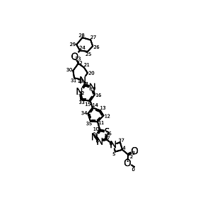 COC(=O)C1CN(c2nnc(-c3ccc(-c4cnc(N5CCC(OC6CCCCC6)CC5)nc4)cc3)s2)C1